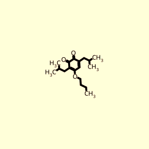 CCCCOC1=C(CC(C)C)C(=O)C(=O)C(CC(C)C)=C1